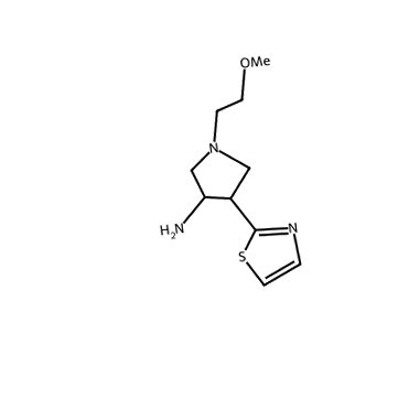 COCCN1CC(N)C(c2nccs2)C1